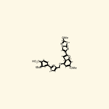 COc1cc(OCc2csc(-c3ccc(C(=O)O)c(C(C)(C)C)c3)n2)c2cc(-c3cn4nc(OC)sc4n3)oc2c1